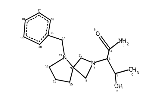 CC(O)C(C(N)=O)N1CC2(CCCN2Cc2ccccc2)C1